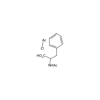 CC(=O)Cl.CC(=O)NC(Cc1ccccc1)C(=O)O